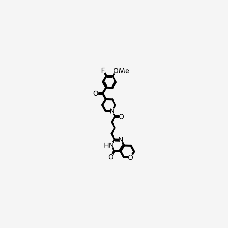 COc1ccc(C(=O)C2CCN(C(=O)CCCc3nc4c(c(=O)[nH]3)COCC4)CC2)cc1F